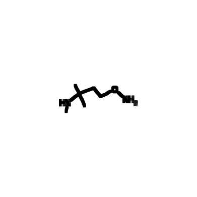 CNC(C)(C)CCON